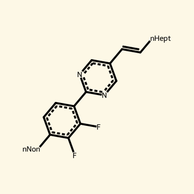 CCCCCCCC=Cc1cnc(-c2ccc(CCCCCCCCC)c(F)c2F)nc1